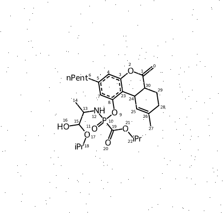 C=C1Oc2cc(CCCCC)cc(OP(=O)(NC(C)C(O)OC(C)C)C(=O)OC(C)C)c2C2C=C(C)CCC12